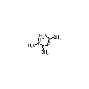 BC(B)=NN(B)PC